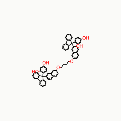 Oc1ccc(C2(c3ccc4ccc(OCCCCOc5ccc6ccc(C7(c8ccc(O)cc8O)c8ccccc8-c8ccccc87)cc6c5)cc4c3)c3ccccc3-c3ccccc32)c(O)c1